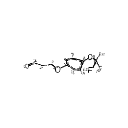 O=CCCOc1ccc(OC(F)(F)F)cc1